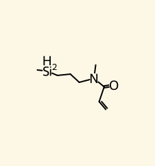 C=CC(=O)N(C)CCC[SiH2]C